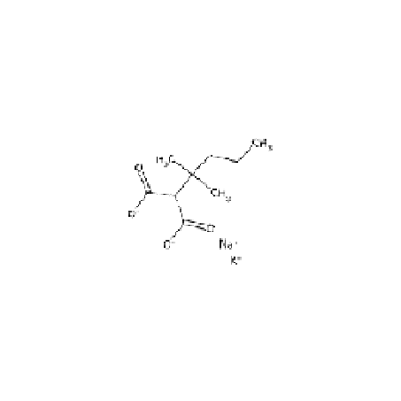 CCCC(C)(C)C(C(=O)[O-])C(=O)[O-].[K+].[Na+]